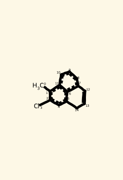 Cc1c(Cl)cc2c3c(cccc13)C=CC2